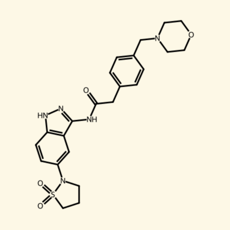 O=C(Cc1ccc(CN2CCOCC2)cc1)Nc1n[nH]c2ccc(N3CCCS3(=O)=O)cc12